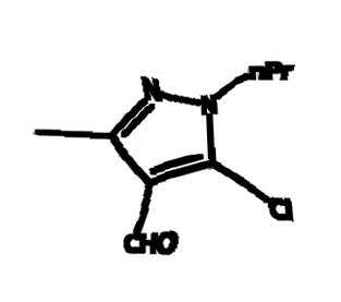 CCCn1nc(C)c(C=O)c1Cl